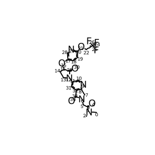 CN(C)C(=O)CN1Cc2ncc(N3CC[C@@H](Oc4ccc(OCC(F)(F)F)nc4)C3=O)cc2C1=O